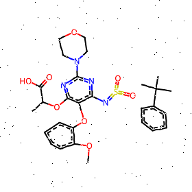 CC(C)(C)c1ccccc1.COc1ccccc1Oc1c(N=S(=O)=O)nc(N2CCOCC2)nc1OC(C)C(=O)O